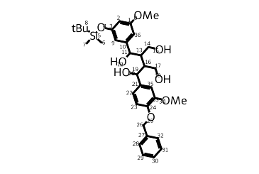 COc1cc(O[Si](C)(C)C(C)(C)C)cc(C(O)C(CO)C(CO)C(O)c2ccc(OCc3ccccc3)c(OC)c2)c1